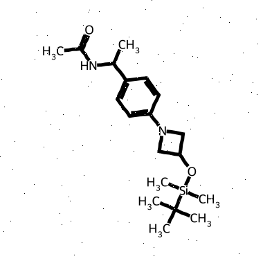 CC(=O)NC(C)c1ccc(N2CC(O[Si](C)(C)C(C)(C)C)C2)cc1